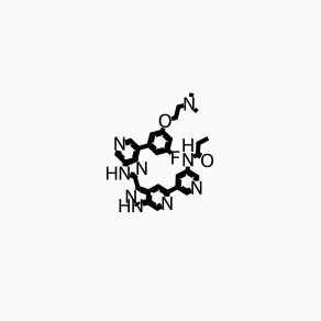 CCC(=O)Nc1cncc(-c2cc3c(-c4nc5c(-c6cc(F)cc(OCCN(C)C)c6)cncc5[nH]4)n[nH]c3cn2)c1